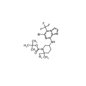 CC(C)(C)OC(=O)N1CC(Nc2nc(Br)c(C(F)(F)F)n3ccnc23)CCC1(C)C